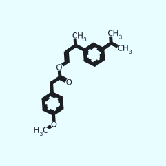 COc1ccc(CC(=O)OC=CC(C)c2cccc(C(C)C)c2)cc1